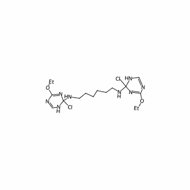 CCOC1=NC(Cl)(NCCCCCCNC2(Cl)N=C(OCC)N=CN2)NC=N1